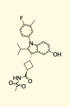 Cc1cc(-n2c(C(C)C)c([C@H]3C[C@H](C(=O)NS(C)(=O)=O)C3)c3cc(O)ccc32)ccc1F